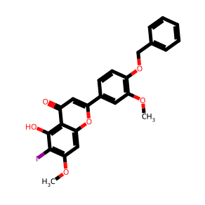 COc1cc(-c2cc(=O)c3c(O)c(I)c(OC)cc3o2)ccc1OCc1ccccc1